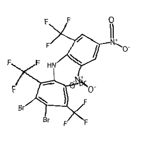 O=[N+]([O-])c1cc([N+](=O)[O-])c(Nc2c(Br)c(C(F)(F)F)c(Br)c(Br)c2C(F)(F)F)c(C(F)(F)F)c1